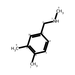 CNCc1ccc(C)c(C)c1